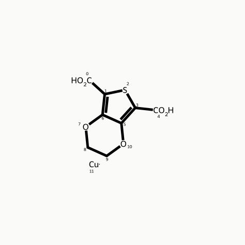 O=C(O)c1sc(C(=O)O)c2c1OCCO2.[Cu]